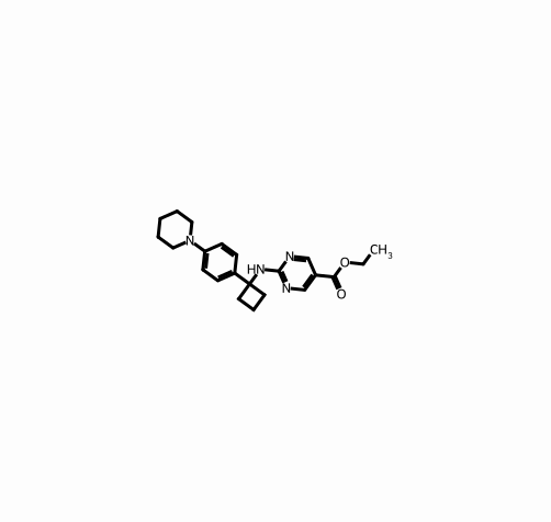 CCOC(=O)c1cnc(NC2(c3ccc(N4CCCCC4)cc3)CCC2)nc1